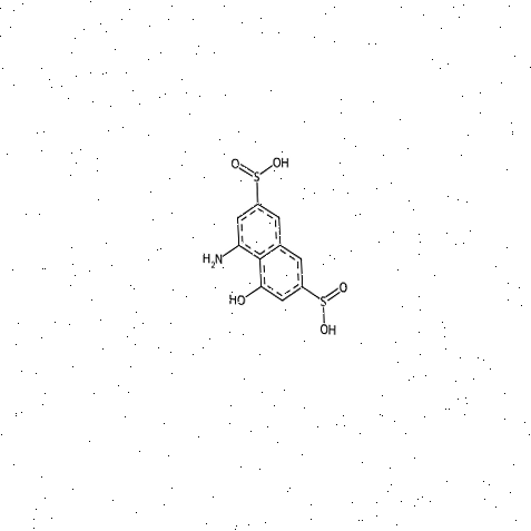 Nc1cc(S(=O)O)cc2cc(S(=O)O)cc(O)c12